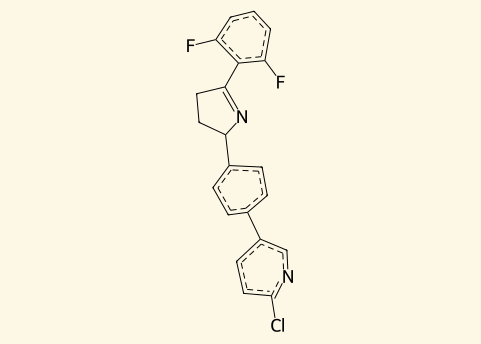 Fc1cccc(F)c1C1=NC(c2ccc(-c3ccc(Cl)nc3)cc2)CC1